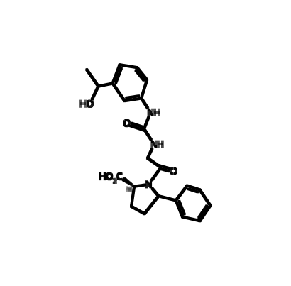 CC(O)c1cccc(NC(=O)NCC(=O)N2C(c3ccccc3)CC[C@H]2C(=O)O)c1